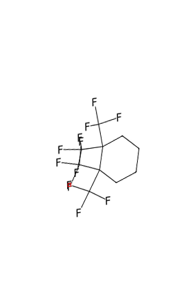 FC(F)(F)C1(C(F)(F)F)CCCCC1(C(F)(F)F)C(F)(F)F